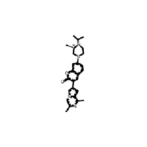 Cc1cn2cc(-c3cc4ccc(N5CCN(C(C)C)[C@H](C)C5)cc4oc3=O)cc2c(C)n1